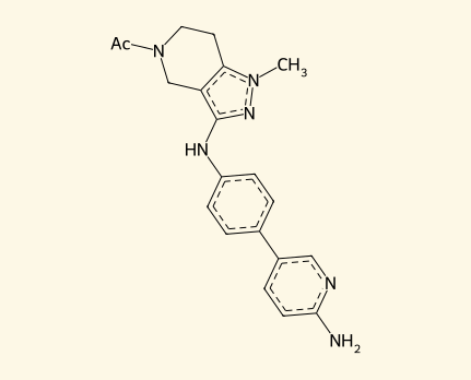 CC(=O)N1CCc2c(c(Nc3ccc(-c4ccc(N)nc4)cc3)nn2C)C1